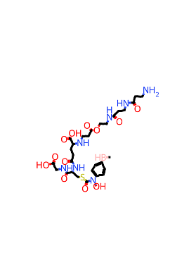 CBc1ccc(N(O)C(=O)SCC(NC(=O)CCC(NCCC(=O)OCCNC(=O)CCNC(=O)CCN)C(=O)O)C(=O)NCC(=O)O)cc1